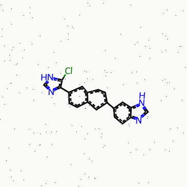 Clc1[nH]cnc1-c1ccc2cc(-c3ccc4nc[nH]c4c3)ccc2c1